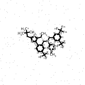 CCc1sc(CC(C)(C)C)nc1-c1ccc(C(F)(F)F)cc1CN(Cc1cc(C(F)(F)F)cc(C(F)(F)F)c1)c1nnn(C)n1